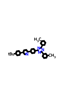 Cc1cccc(-c2nc(-c3ccc(-c4ccc(-c5ccc(C(C)(C)C)cc5)cn4)cc3)nc(-c3cccc(C)c3)n2)c1